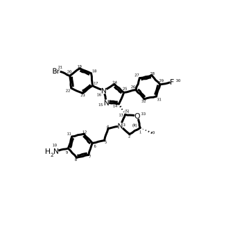 C[C@@H]1CN(CCc2ccc(N)cc2)[C@H](c2nn(-c3ccc(Br)cc3)cc2-c2ccc(F)cc2)O1